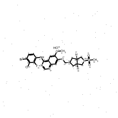 COc1cc2c(Nc3ccc(Br)c(Cl)c3F)ncnc2cc1OC[C@H]1C[C@@H]2CN(S(C)(=O)=O)C[C@@H]2C1.Cl